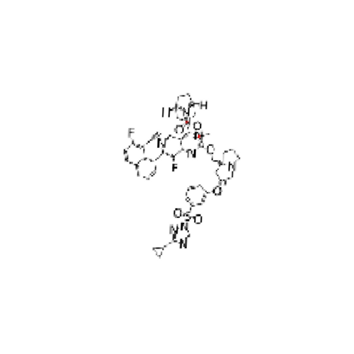 C#Cc1c(F)ccc2cccc(-c3ncc4c(N5C[C@H]6CC[C@@H](C5)N6C(=O)OC(C)(C)C)nc(OC[C@@]56CCCN5C[C@H](Oc5cccc(S(=O)(=O)n7cnc(C8CC8)n7)c5)C6)nc4c3F)c12